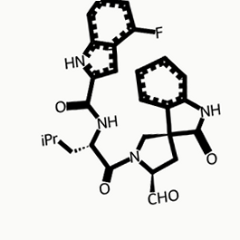 CC(C)C[C@H](NC(=O)c1cc2c(F)cccc2[nH]1)C(=O)N1C[C@]2(C[C@H]1C=O)C(=O)Nc1ccccc12